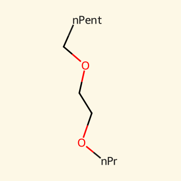 [CH2]CCOCCOCCCCCC